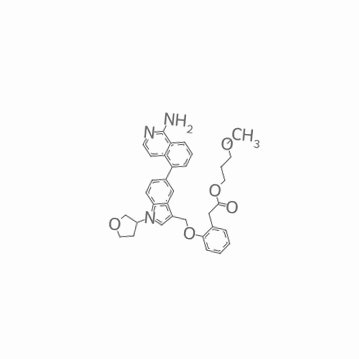 COCCCOC(=O)Cc1ccccc1OCc1cn(C2CCOC2)c2ccc(-c3cccc4c(N)nccc34)cc12